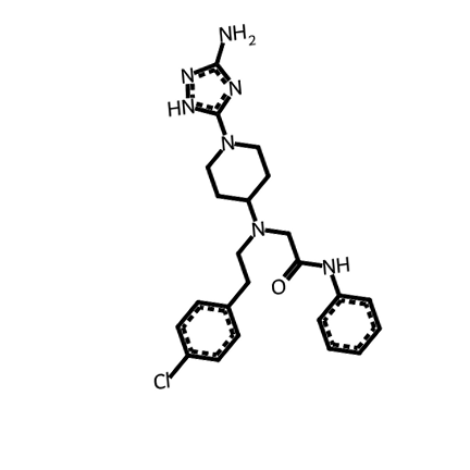 Nc1n[nH]c(N2CCC(N(CCc3ccc(Cl)cc3)CC(=O)Nc3ccccc3)CC2)n1